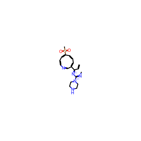 C=C/C(=N\C(=N/C)N1CCNCC1)c1cccc(S(C)(=O)=O)cccnc1